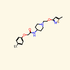 CCc1ccc(OCC(=O)NC2CCN(CCOc3cc(C)sn3)CC2)cc1